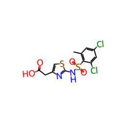 Cc1cc(Cl)cc(Cl)c1S(=O)(=O)Nc1nc(CC(=O)O)cs1